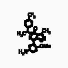 COc1ccc(N)cc1-c1nn([C@@H](C)c2ccc(C(F)(F)F)cc2)c(=O)c2c(C)noc12